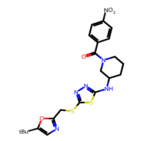 CC(C)(C)c1cnc(CSc2nnc(NC3CCCN(C(=O)c4ccc([N+](=O)[O-])cc4)C3)s2)o1